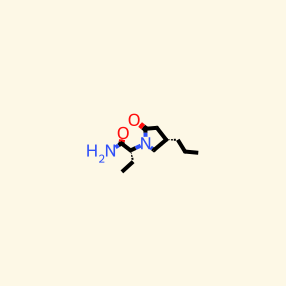 CCC[C@H]1CC(=O)N([C@H](CC)C(N)=O)C1